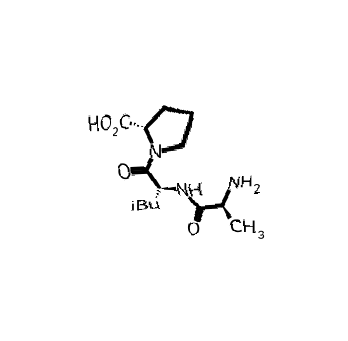 CC[C@@H](C)[C@H](NC(=O)[C@H](C)N)C(=O)N1CCC[C@H]1C(=O)O